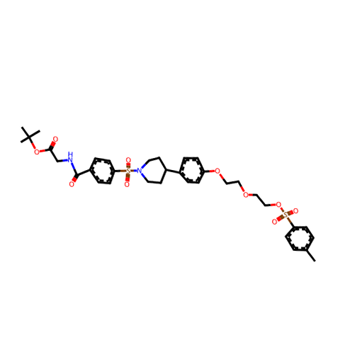 Cc1ccc(S(=O)(=O)OCCOCCOc2ccc(C3CCN(S(=O)(=O)c4ccc(C(=O)NCC(=O)OC(C)(C)C)cc4)CC3)cc2)cc1